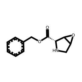 O=C(OCc1ccccc1)[C@H]1NCC2OC21